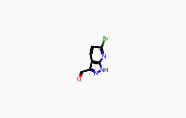 O=Cc1n[nH]c2nc(Br)ccc12